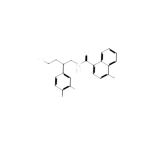 O=C(NCC(CCO)c1ccc(Cl)c(Cl)c1)c1ccc(F)c2ccccc12